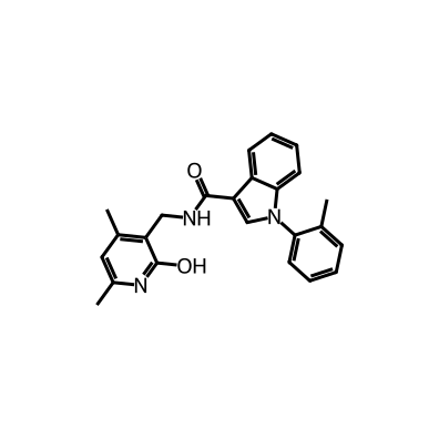 Cc1cc(C)c(CNC(=O)c2cn(-c3ccccc3C)c3ccccc23)c(O)n1